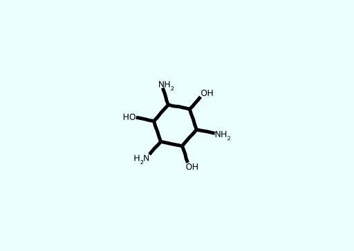 NC1C(O)C(N)C(O)C(N)C1O